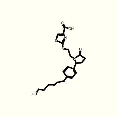 O=C(O)c1csc(SCCN2C(=O)CCC2c2ccc(CCCCCCO)cc2)n1